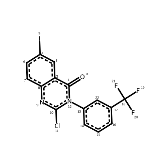 O=c1c2cc(I)ccc2nc(Cl)n1-c1cccc(C(F)(F)F)c1